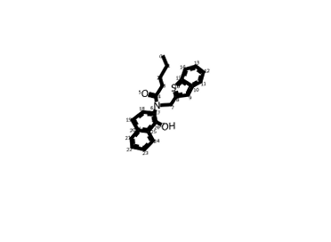 CCCCC(=O)N(Cc1cc2ccccc2s1)c1ccc2ccccc2c1O